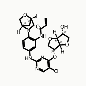 C=CC(=O)Nc1cc(Nc2ncc(Cl)c(O[C@@H]3CO[C@H]4[C@@H]3OC[C@H]4O)n2)ccc1N1C[C@@H]2C[C@H]1CO2